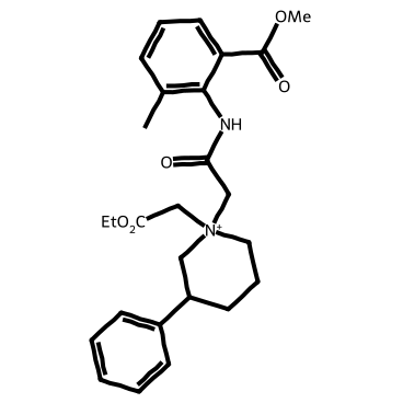 CCOC(=O)C[N+]1(CC(=O)Nc2c(C)cccc2C(=O)OC)CCCC(c2ccccc2)C1